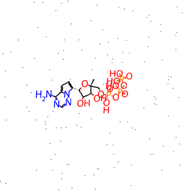 C[C@]1(COP(=O)(O)OP(=O)(O)OP(=O)(O)O)O[C@@H](c2ccc3c(N)ncnn23)[C@H](O)[C@@H]1O